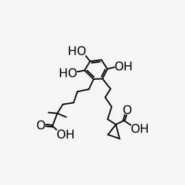 CC(C)(CCCCc1c(O)c(O)cc(O)c1CCCCC1(C(=O)O)CC1)C(=O)O